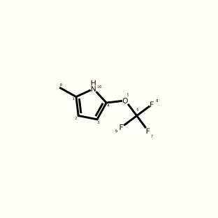 Cc1ccc(OC(F)(F)F)[nH]1